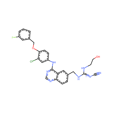 N#C/N=C(\NCCO)NCc1ccc2ncnc(Nc3ccc(OCc4cccc(F)c4)c(Cl)c3)c2c1